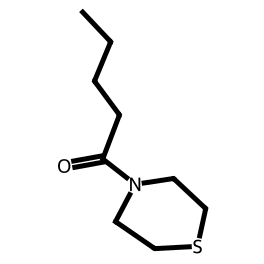 CCCCC(=O)N1CCSCC1